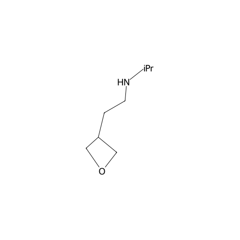 CC(C)NCCC1COC1